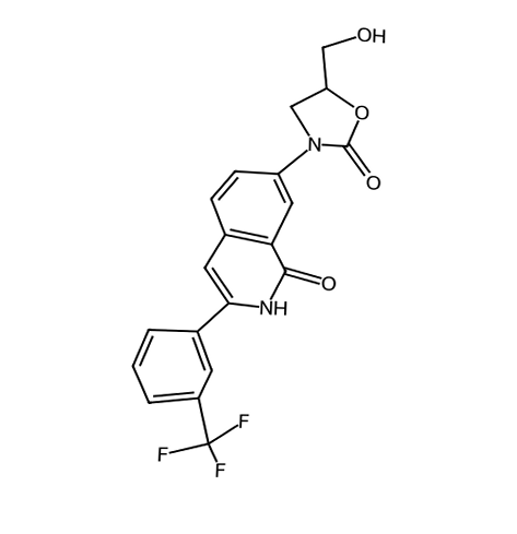 O=C1OC(CO)CN1c1ccc2cc(-c3cccc(C(F)(F)F)c3)[nH]c(=O)c2c1